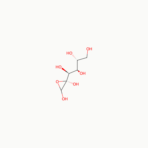 OC[C@@H](O)[C@@H](O)[C@H](O)[C@]1(O)OC1O